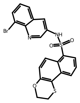 O=S(=O)(Nc1cnc2c(Br)cccc2c1)c1cccc2c3c(ccc12)OCCS3